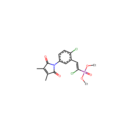 CCOP(=O)(OCC)C(Cl)=Cc1cc(N2C(=O)C(C)=C(C)C2=O)ccc1Cl